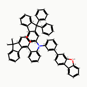 CC1(C)c2ccccc2-c2c(-c3ccccc3N(c3cccc(-c4ccc5c(c4)oc4ccccc45)c3)c3ccc4c(c3)C(c3ccccc3)(c3ccccc3)c3ccccc3-4)cccc21